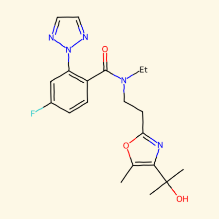 CCN(CCc1nc(C(C)(C)O)c(C)o1)C(=O)c1ccc(F)cc1-n1nccn1